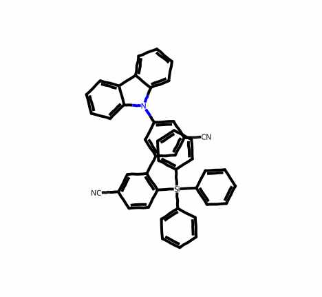 N#Cc1cc(-c2cc(C#N)ccc2[Si](c2ccccc2)(c2ccccc2)c2ccccc2)cc(-n2c3ccccc3c3ccccc32)c1